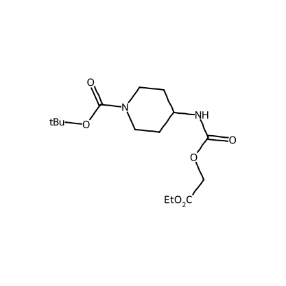 CCOC(=O)COC(=O)NC1CCN(C(=O)OC(C)(C)C)CC1